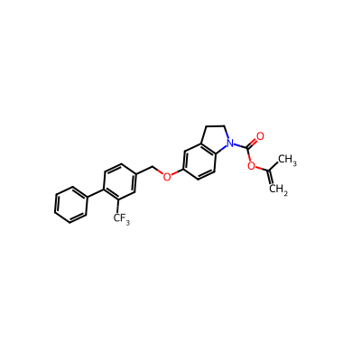 C=C(C)OC(=O)N1CCc2cc(OCc3ccc(-c4ccccc4)c(C(F)(F)F)c3)ccc21